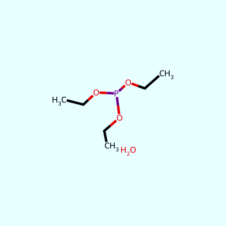 CCOP(OCC)OCC.O